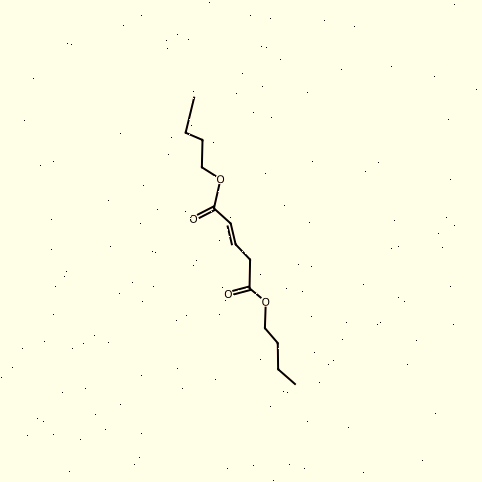 CCCCOC(=O)/C=C/CC(=O)OCCCC